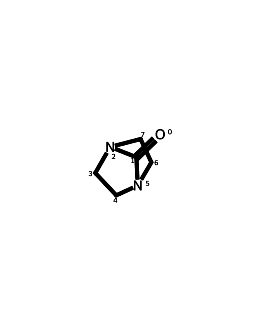 O=C1N2CCN1CC2